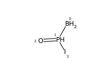 B[PH](=O)I